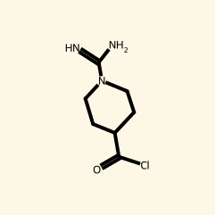 N=C(N)N1CCC(C(=O)Cl)CC1